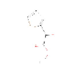 COC(=O)C(O)c1cccs1